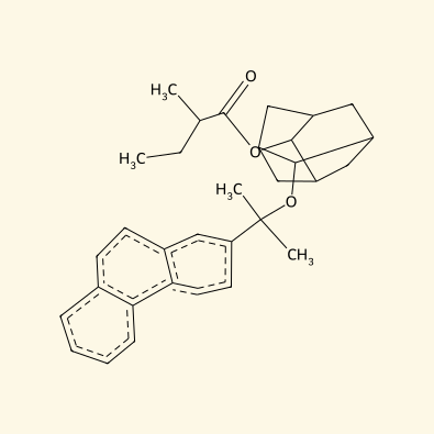 CCC(C)C(=O)OC1C2CC3CC1CC(C2)C3OC(C)(C)c1ccc2c(ccc3ccccc32)c1